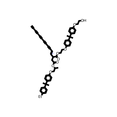 C#CC#CC#CC#CC#C/C=C/C(CC(=O)OC(C)COc1ccc(C(C)(C)c2ccc(CC)cc2)cc1)C(=O)OCCOc1ccc(C(C)(C)c2ccc(OCCO)cc2)cc1